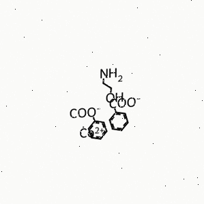 NCCO.O=C([O-])c1ccccc1.O=C([O-])c1ccccc1.[Co+2]